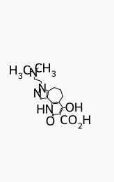 CN(C)CCn1ncc2c1CCCc1c-2[nH]c(=O)c(C(=O)O)c1O